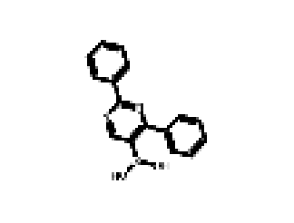 OB(O)c1cnc(-c2ccccc2)nc1-c1ccccc1